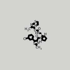 Cc1nc(C(=O)N2[C@@H]3CC[C@@H](C3)[C@H]2CNC(=O)Oc2c(C)nc3sccn23)c(-c2cccc(Cl)c2)s1